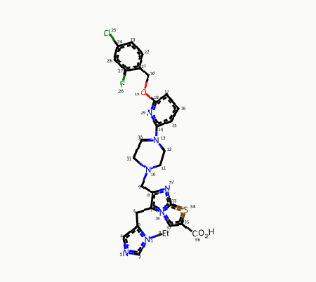 CCn1cncc1Cc1c(CN2CCN(c3cccc(OCc4ccc(Cl)cc4F)n3)CC2)nc2sc(C(=O)O)cn12